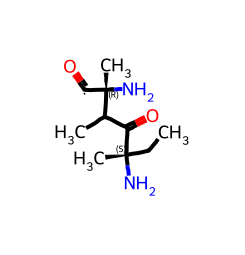 CC[C@](C)(N)C(=O)C(C)[C@@](C)(N)[C]=O